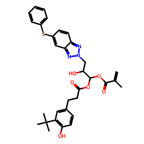 C=C(C)C(=O)OC(OC(=O)CCc1ccc(O)c(C(C)(C)C)c1)C(O)Cn1nc2ccc(Sc3ccccc3)cc2n1